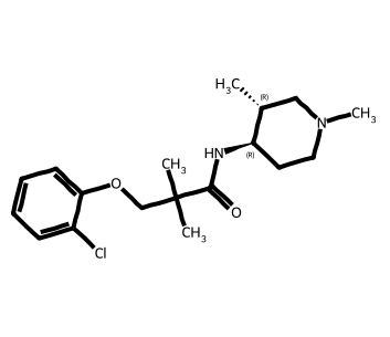 C[C@@H]1CN(C)CC[C@H]1NC(=O)C(C)(C)COc1ccccc1Cl